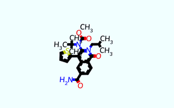 COC(=O)N(c1c(-c2cccs2)c2cc(C(N)=O)ccc2c(=O)n1CC(C)C)C(C)(C)C